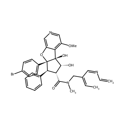 C=C/N=C\C(=C/C)CN(C)C(=O)[C@H]1[C@@H](O)[C@@]2(O)c3c(OC)cncc3O[C@@]2(c2ccc(Br)cc2)[C@@H]1c1ccccc1